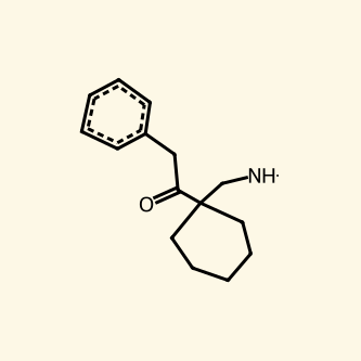 [NH]CC1(C(=O)Cc2ccccc2)CCCCC1